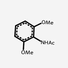 [CH2]C(=O)Nc1c(OC)cccc1OC